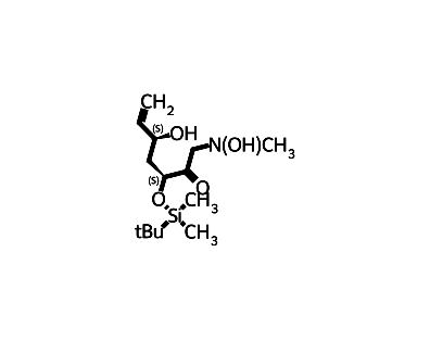 C=C[C@@H](O)C[C@H](O[Si](C)(C)C(C)(C)C)C(=O)CN(C)O